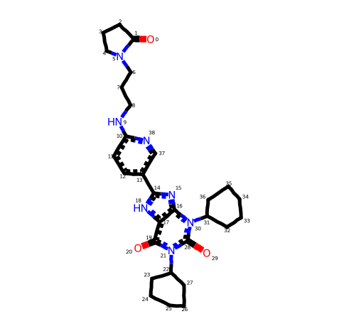 O=C1CCCN1CCCNc1ccc(-c2nc3c([nH]2)c(=O)n(C2CCCCC2)c(=O)n3C2CCCCC2)cn1